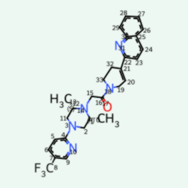 C[C@@H]1CN(c2ccc(C(F)(F)F)cn2)C[C@H](C)N1CC(=O)N1CC=C(c2ccc3ccccc3n2)CC1